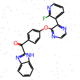 O=C(c1ccc(Oc2nccnc2-c2cccnc2F)cc1)c1nc2ccccc2[nH]1